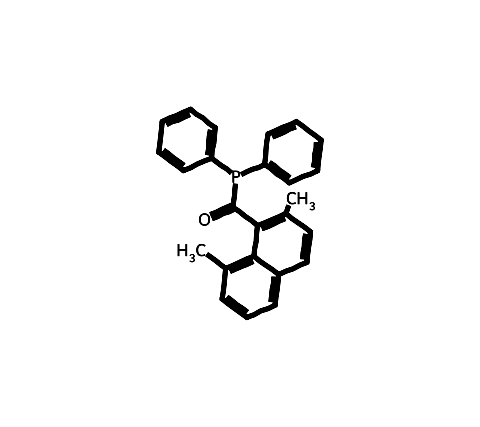 Cc1ccc2cccc(C)c2c1C(=O)P(c1ccccc1)c1ccccc1